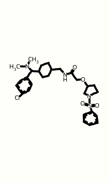 CN(C)C(c1ccc(Cl)cc1)C1CCC(CNC(=O)COC2CCN(S(=O)(=O)c3ccccc3)C2)CC1